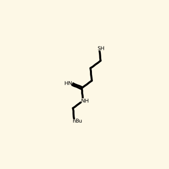 CCCCCNC(=N)CCCS